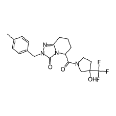 Cc1ccc(Cn2nc3n(c2=O)C(C(=O)N2CCC(O)(C(F)(F)F)C2)CCC3)cc1